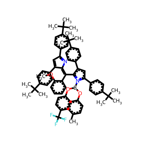 COc1ccccc1/C(=C1/N=C(c2ccc(C(C)(C)C)cc2)C=C1c1ccc(C(C)(C)C)cc1)c1c(-c2ccc(C(C)(C)C)cc2)cc(-c2ccc(C(C)(C)C)cc2)n1B(Oc1ccc(C)cc1)Oc1ccc(C(F)(F)F)cc1